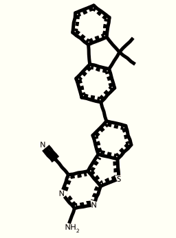 CC1(C)c2ccccc2-c2ccc(-c3ccc4sc5nc(N)nc(C#N)c5c4c3)cc21